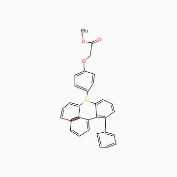 CC(C)(C)OC(=O)COc1ccc([S+](c2ccccc2)c2cccc(-c3ccccc3)c2-c2ccccc2)cc1